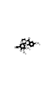 Cc1ccc(Cl)c(C(=O)N2CCOC3(C=C(C#N)C(=O)C(C)(C)C3)C2)c1